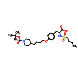 CCCCS(=O)(=O)NC(Cc1ccc(OCCCCC2CCN(C(=O)OC(C)(C)C)CC2)cc1)C(=O)O